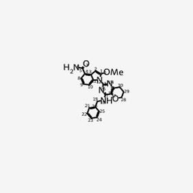 COc1cc2c(C(N)=O)cccc2n1-c1nc2c(c(NCc3ccccc3)n1)OCCC2